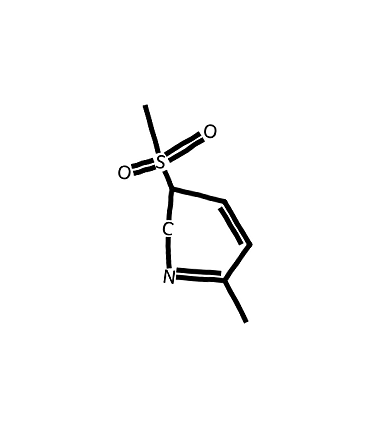 CC1=NCC(S(C)(=O)=O)C=C1